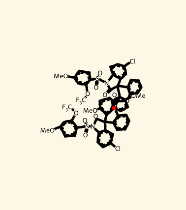 COc1ccc(S(=O)(=O)N2C(=O)C(c3ccccc3OC)(c3ccccc3OC(=O)Oc3ccccc3C3(c4ccccc4OC)C(=O)N(S(=O)(=O)c4ccc(OC)cc4OC(F)(F)F)c4ccc(Cl)cc43)c3cc(Cl)ccc32)c(OC(F)(F)F)c1